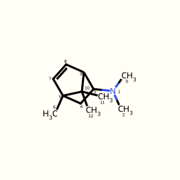 CN(C)C1CC2(C)C=CC1C2(C)C